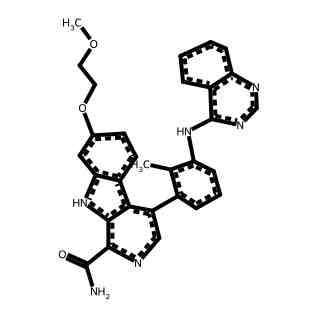 COCCOc1ccc2c(c1)[nH]c1c(C(N)=O)ncc(-c3cccc(Nc4ncnc5ccccc45)c3C)c12